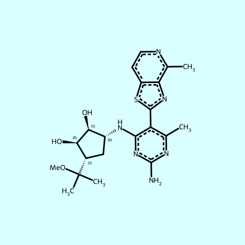 COC(C)(C)[C@H]1C[C@@H](Nc2nc(N)nc(C)c2-c2nc3c(C)nccc3s2)[C@H](O)[C@@H]1O